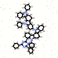 c1ccc(-c2nc(-c3ccccc3)nc(-c3cccc4c5c(ccc6c7ccccc7n(-c7ccc8c(c7)c7ccc9c(c%10ccccc%10n9-c9ccccc9)c7n8-c7ccccc7)c65)n(-c5ccccc5)c34)n2)cc1